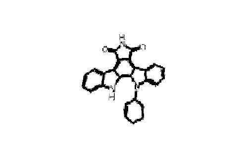 O=C1NC(=O)c2c1c1c3ccccc3[nH]c1c1c2c2ccccc2n1C1C=CCCC1